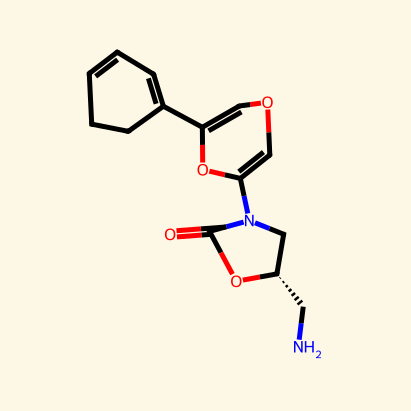 NC[C@H]1CN(C2=COC=C(C3=CC=CCC3)O2)C(=O)O1